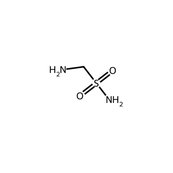 NCS(N)(=O)=O